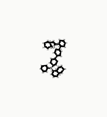 c1ccc(N(c2ccc(-c3ccc(-c4ccccc4-c4cc5ccccc5o4)cc3)cc2)c2cccc3ccccc23)cc1